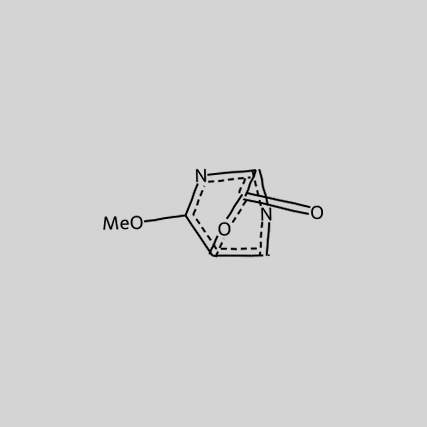 COc1nc2n[c]c1oc2=O